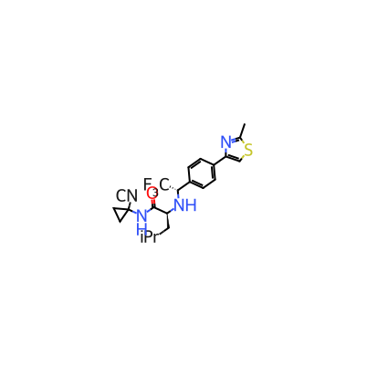 Cc1nc(-c2ccc([C@H](N[C@@H](CC(C)C)C(=O)NC3(C#N)CC3)C(F)(F)F)cc2)cs1